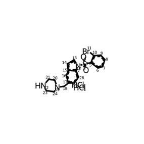 Cl.Cl.O=S(=O)(c1ccccc1Br)n1ccc2cc(CN3CCNCC3)ccc21